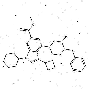 COC(=O)c1cc(N2CCN(Cc3ccccc3)[C@H](C)C2)c2c(C3CCC3)nn(C3CCCCC3)c2n1